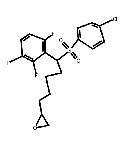 O=S(=O)(c1ccc(Cl)cc1)C(CCCCC1CO1)c1c(F)ccc(F)c1F